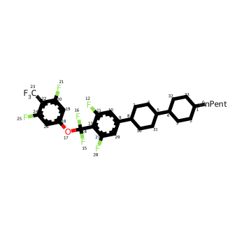 CCCCCC1CCC(C2CCC(c3cc(F)c(C(F)(F)Oc4cc(F)c(C(F)(F)F)c(F)c4)c(F)c3)CC2)CC1